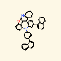 C1=Cc2cc3c(nc2CC1)oc1cccc(N(c2ccc(-c4cccc5ccccc45)cc2)c2cccc(-c4cccc5ccccc45)c2)c13